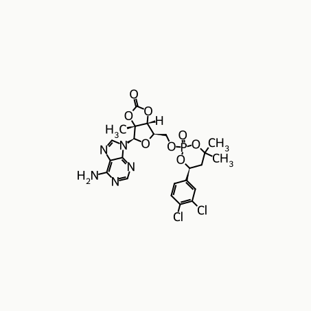 CC1(C)C[C@@H](c2ccc(Cl)c(Cl)c2)OP(=O)(OC[C@H]2O[C@@H](n3cnc4c(N)ncnc43)[C@]3(C)OC(=O)O[C@H]23)O1